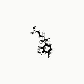 CN(C)CCNS(=O)(=O)c1ccc(F)c2nsnc12